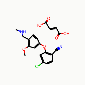 CNCc1ccc(Oc2cc(Cl)ccc2C#N)cc1OC.O=C(O)C=CC(=O)O